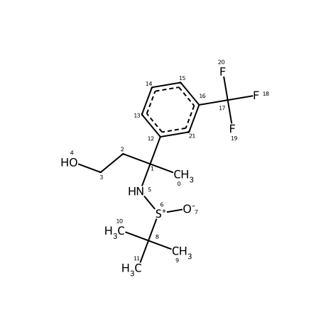 CC(CCO)(N[S+]([O-])C(C)(C)C)c1cccc(C(F)(F)F)c1